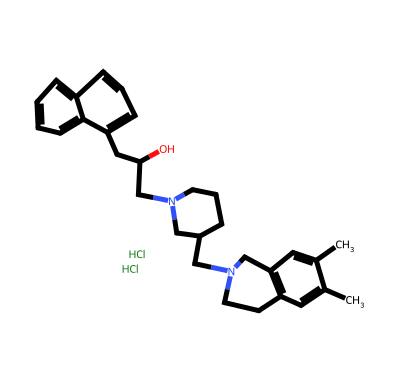 Cc1cc2c(cc1C)CN(CC1CCCN(CC(O)Cc3cccc4ccccc34)C1)CC2.Cl.Cl